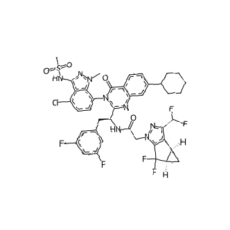 Cn1nc(NS(C)(=O)=O)c2c(Cl)ccc(-n3c([C@H](Cc4cc(F)cc(F)c4)NC(=O)Cn4nc(C(F)F)c5c4C(F)(F)[C@@H]4C[C@H]54)nc4cc(C5CCCCC5)ccc4c3=O)c21